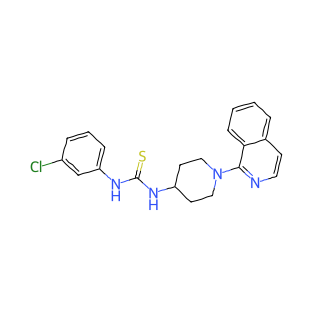 S=C(Nc1cccc(Cl)c1)NC1CCN(c2nccc3ccccc23)CC1